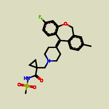 Cc1ccc2c(c1)COc1cc(F)ccc1C2=C1CCN(CC2(C(=O)NS(C)(=O)=O)CC2)CC1